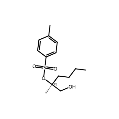 CCCC[C@@](C)(CO)OS(=O)(=O)c1ccc(C)cc1